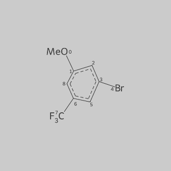 COc1cc(Br)cc(C(F)(F)F)c1